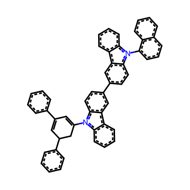 C1=C(c2ccccc2)C=C(n2c3ccccc3c3cc(-c4ccc5c(c4)c4ccccc4n5-c4cccc5ccccc45)ccc32)CC1c1ccccc1